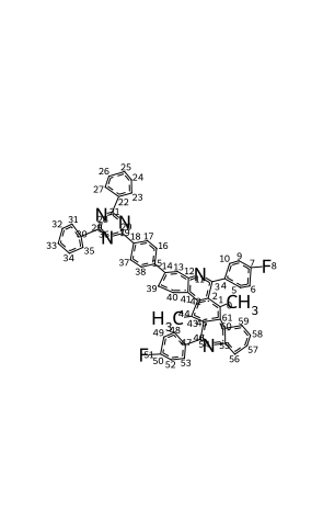 Cc1c2c(-c3ccc(F)cc3)nc3cc(-c4ccc(-c5nc(-c6ccccc6)nc(-c6ccccc6)n5)cc4)ccc3c2c(C)c2c(-c3ccc(F)cc3)nc3ccccc3c12